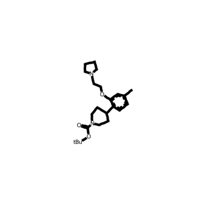 Cc1ccc(C2CCN(C(=O)OC(C)(C)C)CC2)c(OCCN2CCCC2)c1